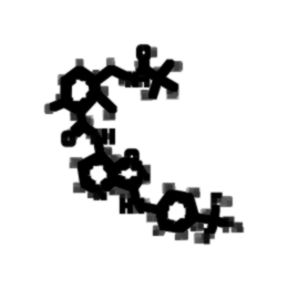 Cc1ccc(CNC(=O)C(C)(C)C)c(C)c1C(=O)Nc1ccnc2c(Nc3ccc(C(F)(F)F)cc3)noc12